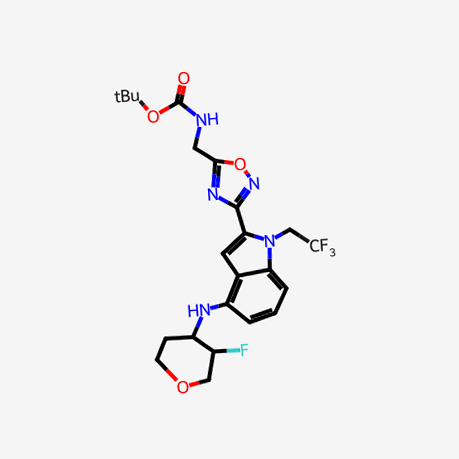 CC(C)(C)OC(=O)NCc1nc(-c2cc3c(NC4CCOCC4F)cccc3n2CC(F)(F)F)no1